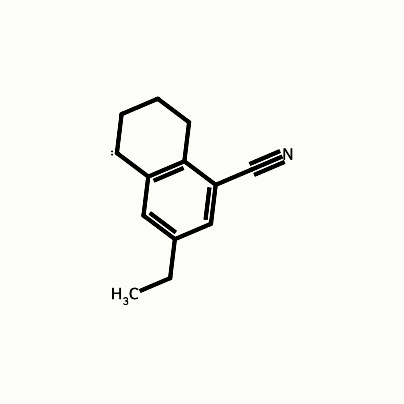 CCc1cc2c(c(C#N)c1)CCC[C]2